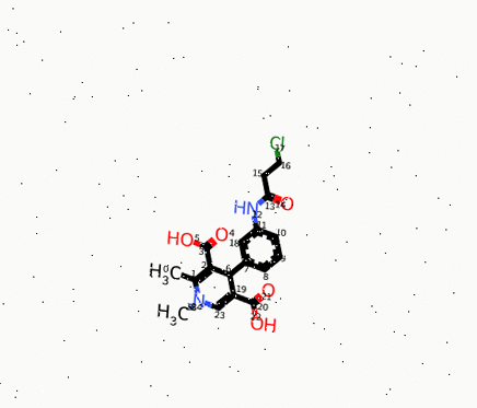 CC1=C(C(=O)O)C(c2cccc(NC(=O)CCCl)c2)C(C(=O)O)=CN1C